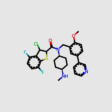 CN[C@H]1CC[C@@H](N(Cc2cc(-c3cccnc3)ccc2OC)C(=O)C2Sc3c(F)ccc(F)c3C2Cl)CC1